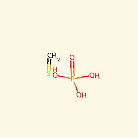 C=S.O=P(O)(O)O